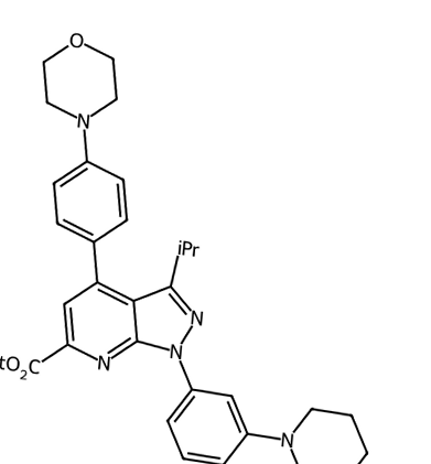 CCOC(=O)c1cc(-c2ccc(N3CCOCC3)cc2)c2c(C(C)C)nn(-c3cccc(N4CCCCC4)c3)c2n1